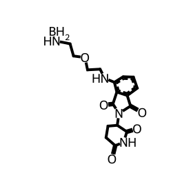 BNCCOCCNc1cccc2c1C(=O)N(C1CCC(=O)NC1=O)C2=O